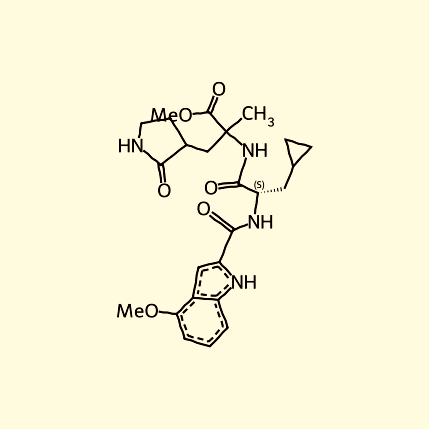 COC(=O)C(C)(CC1CCNC1=O)NC(=O)[C@H](CC1CC1)NC(=O)c1cc2c(OC)cccc2[nH]1